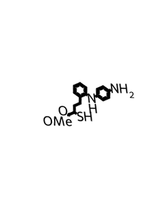 COC(=O)C(S)CCc1ccccc1Nc1ccc(N)cc1